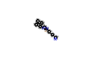 c1cncc(-c2ccc(-c3ccc(-c4nc5ccc(-c6ccc7c(c6)C6(c8ccccc8-c8ccccc86)c6ccccc6-7)nc5s4)cc3)cc2)c1